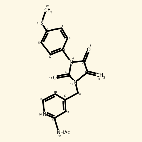 C=C1C(=O)N(c2ccc(SC(F)(F)F)cc2)C(=O)N1Cc1ccnc(NC(C)=O)c1